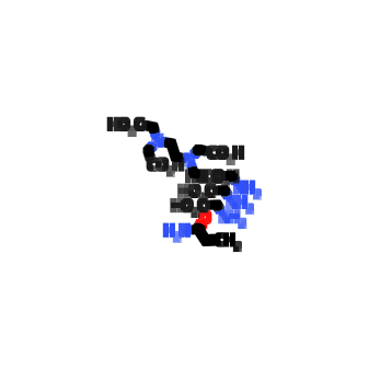 C=CC(N)=O.NCC(=O)O.NCC(=O)O.NCC(=O)O.O=C(O)CN(CCN(CC(=O)O)CC(=O)O)CC(=O)O